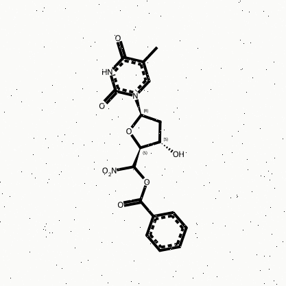 Cc1cn([C@H]2C[C@H](O)[C@@H](C(OC(=O)c3ccccc3)[N+](=O)[O-])O2)c(=O)[nH]c1=O